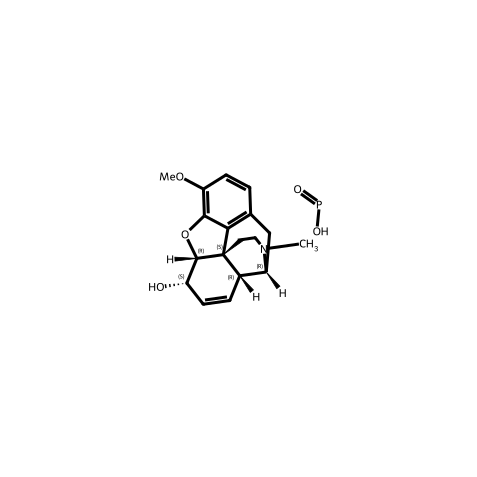 COc1ccc2c3c1O[C@H]1[C@@H](O)C=C[C@H]4[C@@H](C2)N(C)CC[C@@]341.O=PO